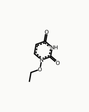 CCOn1ccc(=O)[nH]c1=O